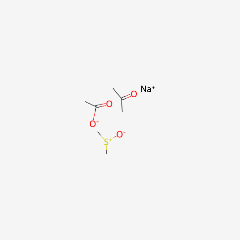 CC(=O)[O-].CC(C)=O.C[S+](C)[O-].[Na+]